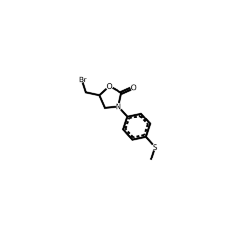 CSc1ccc(N2CC(CBr)OC2=O)cc1